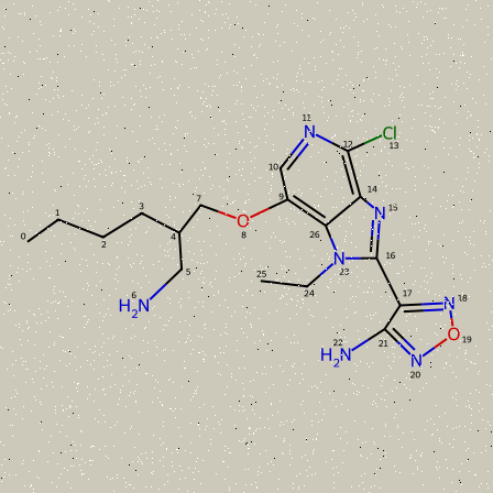 CCCCC(CN)COc1cnc(Cl)c2nc(-c3nonc3N)n(CC)c12